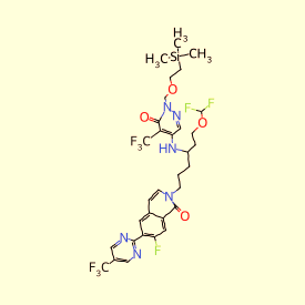 C[Si](C)(C)CCOCn1ncc(NC(CCCn2ccc3cc(-c4ncc(C(F)(F)F)cn4)c(F)cc3c2=O)CCOC(F)F)c(C(F)(F)F)c1=O